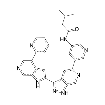 CC(C)CC(=O)Nc1cncc(-c2cc3c(-c4cc5c(-c6ccccn6)cncc5[nH]4)n[nH]c3cn2)c1